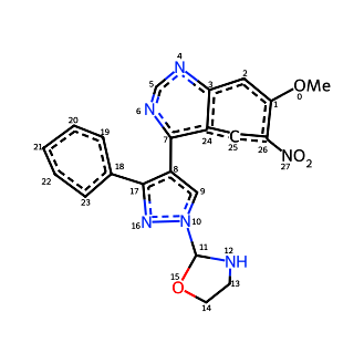 COc1cc2ncnc(-c3cn(C4NCCO4)nc3-c3ccccc3)c2cc1[N+](=O)[O-]